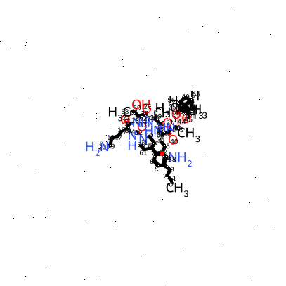 CCCCc1ccc(C2CCN(C(=O)N[C@@H](CCCCN)C(=O)N[C@H](C(=O)N[C@@H](C)C(=O)N[C@@H](CCCCN)C(=O)N[C@@H](C)B3O[C@@H]4C[C@@H]5C[C@@H](C5(C)C)[C@]4(C)O3)[C@@H](C)O)CC2)cc1